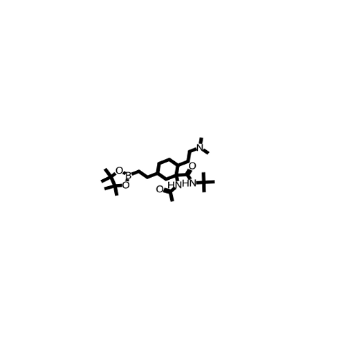 CC(=O)NC1(C(=O)NC(C)(C)C)CC(CCB2OC(C)(C)C(C)(C)O2)CCC1CCN(C)C